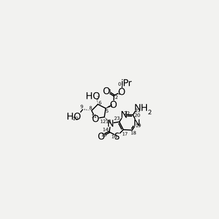 CC(C)OC(=O)O[C@@H]1[C@@H](O)[C@@H](CO)O[C@H]1n1c(=O)sc2cnc(N)nc21